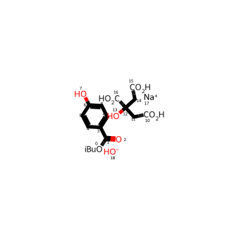 CC(C)COC(=O)c1ccc(O)cc1.O=C(O)CC(O)(CC(=O)O)C(=O)O.[Na+].[OH-]